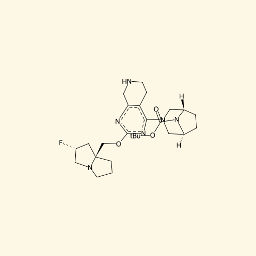 CC(C)(C)OC(=O)N1[C@H]2CC[C@H]1CN(c1nc(OC[C@@]34CCCN3C[C@H](F)C4)nc3c1CCNC3)C2